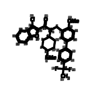 CN[C@H]1CC[C@@H](N(Cc2cc(-c3ccc(C(C)(F)F)cc3)ccc2OC)C(=O)c2oc3ccccc3c2Cl)CC1